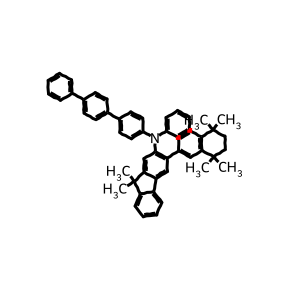 CC1(C)CCC(C)(C)c2cc(-c3cc4c(cc3N(c3ccccc3)c3ccc(-c5ccc(-c6ccccc6)cc5)cc3)C(C)(C)c3ccccc3-4)ccc21